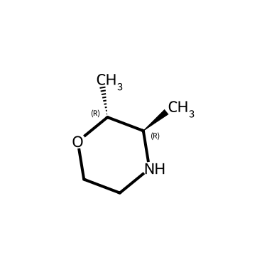 C[C@H]1NCCO[C@@H]1C